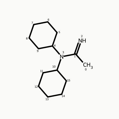 CC(=N)N(C1CCCCC1)C1CCCCC1